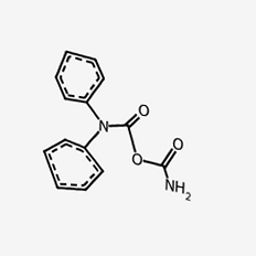 NC(=O)OC(=O)N(c1ccccc1)c1ccccc1